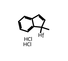 C[C]1([Hf])C=Cc2ccccc21.Cl.Cl